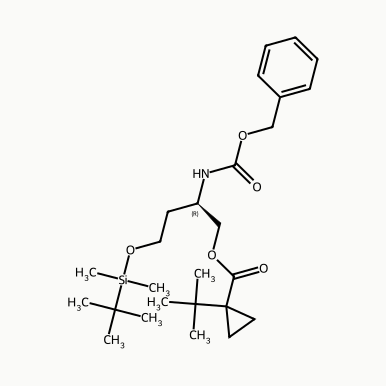 CC(C)(C)C1(C(=O)OC[C@@H](CCO[Si](C)(C)C(C)(C)C)NC(=O)OCc2ccccc2)CC1